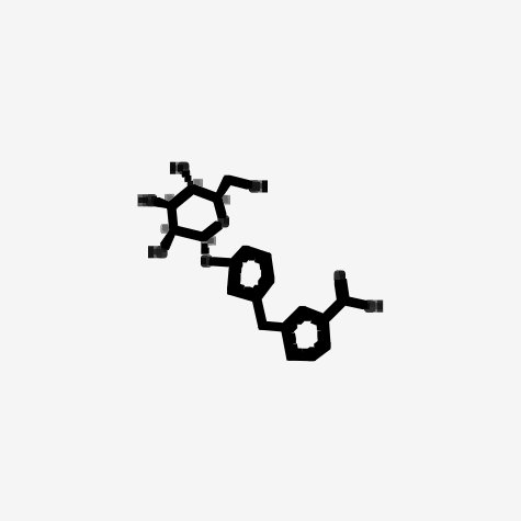 O=C(O)c1cccc(Cc2cccc(O[C@H]3O[C@H](CO)[C@@H](O)[C@H](O)[C@@H]3O)c2)c1